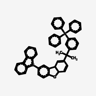 CC(C)(C1=CC2c3cc(-n4c5ccccc5c5ccccc54)ccc3OC2C=C1)c1cccc([Si](c2ccccc2)(c2ccccc2)c2ccccc2)c1